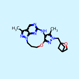 Cc1nn2c3nc(ncc13)Nc1c(nn(CC34CC(CO3)C4)c1C)OCCC2